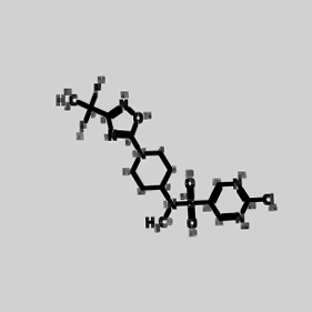 CN(C1CCN(c2nc(C(C)(F)F)no2)CC1)S(=O)(=O)c1cnc(Cl)nc1